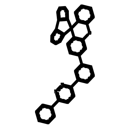 c1ccc(-c2ccc(-c3cccc(-c4ccc5c(c4)Oc4ccccc4C54c5ccccc5-c5ccccc54)c3)nn2)cc1